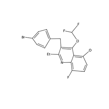 CCc1nc2c(F)ccc([O])c2c(OC(F)F)c1Cc1ccc(Br)cc1